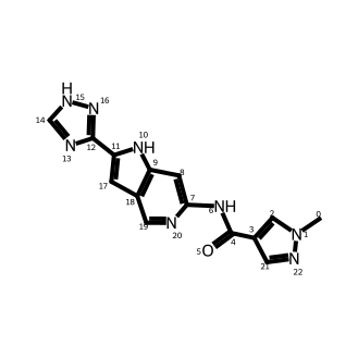 Cn1cc(C(=O)Nc2cc3[nH]c(-c4nc[nH]n4)cc3cn2)cn1